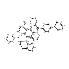 c1ccc(-c2ccc(N(c3ccc(-c4ccccc4)cc3)c3cccc4c3-c3cccc5c(N(c6ccccc6)c6ccccc6)ccc(c35)O4)cc2)cc1